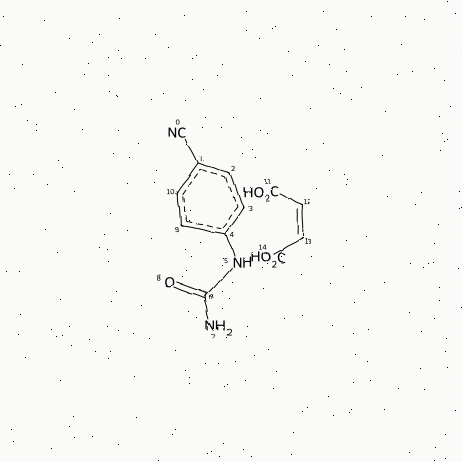 N#Cc1ccc(NC(N)=O)cc1.O=C(O)/C=C\C(=O)O